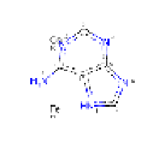 Nc1ncnc2nc[nH]c12.[Co].[Fe]